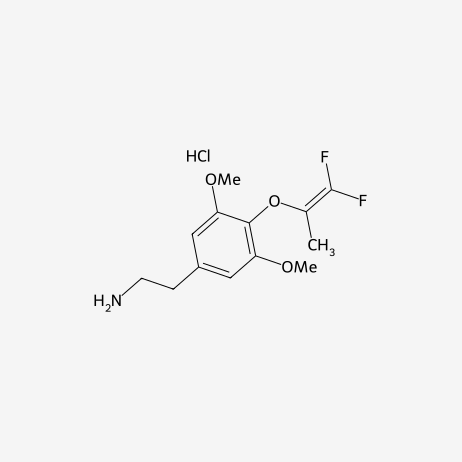 COc1cc(CCN)cc(OC)c1OC(C)=C(F)F.Cl